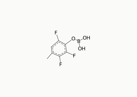 Cc1cc(F)c(OB(O)O)c(F)c1F